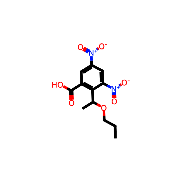 CCCOC(C)c1c(C(=O)O)cc([N+](=O)[O-])cc1[N+](=O)[O-]